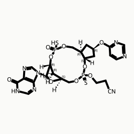 C[C@H]1[C@H]2OP(=O)(S)OC[C@H]3C[C@@H](Oc4ccncn4)C[C@@H]3OP(=S)(OCCC#N)OC[C@H]1O[C@H]2n1cnc2c(=O)[nH]cnc21